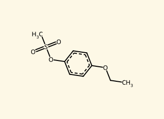 CCOc1ccc(OS(C)(=O)=O)cc1